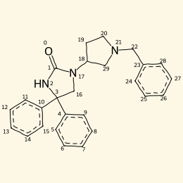 O=C1NC(c2ccccc2)(c2ccccc2)CN1C1CCN(Cc2ccccc2)C1